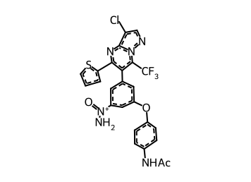 CC(=O)Nc1ccc(Oc2cc(-c3c(-c4cccs4)nc4c(Cl)cnn4c3C(F)(F)F)cc([N+](N)=O)c2)cc1